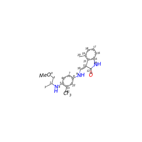 COCC(C)Nc1ccc(NC=C2C(=O)Nc3cccc(C)c32)cc1C(F)(F)F